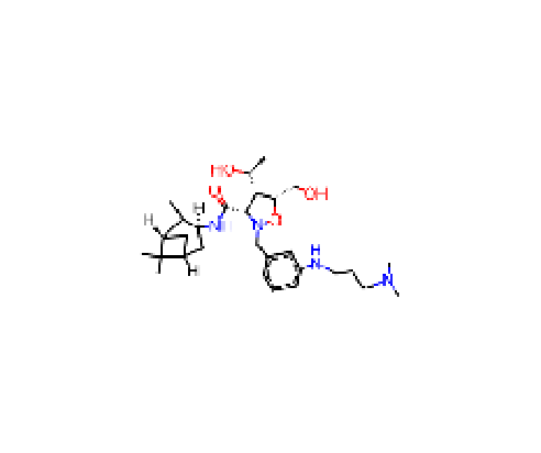 CC1[C@@H](NC(=O)[C@@H]2[C@H]([C@H](C)O)[C@H](CO)ON2Cc2cccc(NCCCN(C)C)c2)C[C@H]2C[C@@H]1C2(C)C